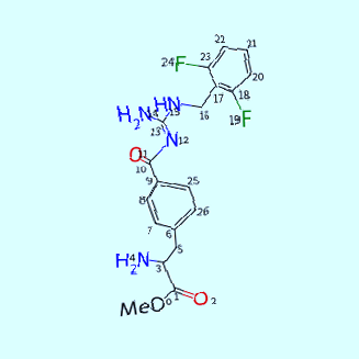 COC(=O)C(N)Cc1ccc(C(=O)/N=C(\N)NCc2c(F)cccc2F)cc1